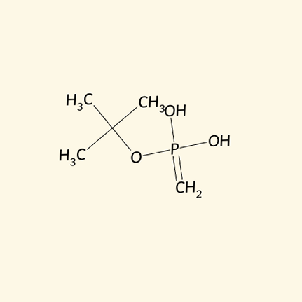 C=P(O)(O)OC(C)(C)C